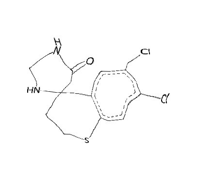 O=C1NCNC12CCSc1cc(Cl)c(Cl)cc12